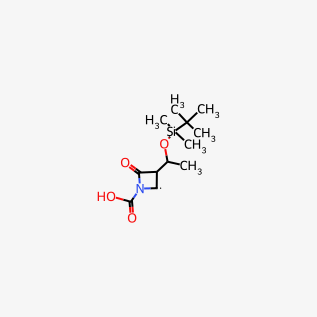 CC(O[Si](C)(C)C(C)(C)C)C1[CH]N(C(=O)O)C1=O